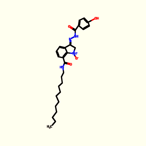 CCCCCCCCCCCCNC(=O)c1cccc2c1[NH+]([O-])CC2=NNC(=O)c1ccc(O)cc1